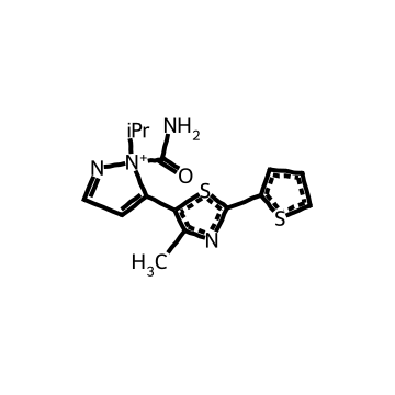 Cc1nc(-c2cccs2)sc1C1=CC=N[N+]1(C(N)=O)C(C)C